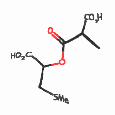 CSCC(OC(=O)C(C)C(=O)O)C(=O)O